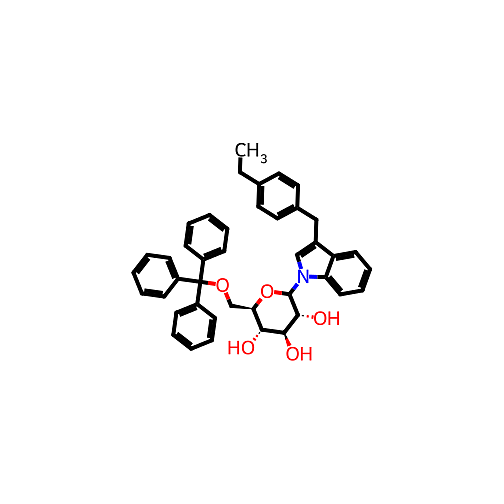 CCc1ccc(Cc2cn(C3O[C@H](COC(c4ccccc4)(c4ccccc4)c4ccccc4)[C@@H](O)[C@H](O)[C@H]3O)c3ccccc23)cc1